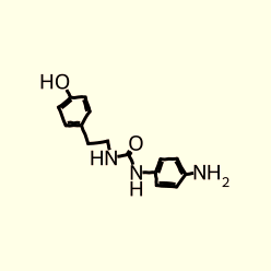 Nc1ccc(NC(=O)NCCc2ccc(O)cc2)cc1